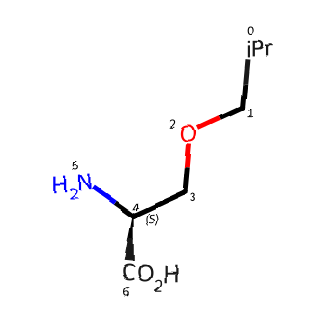 CC(C)COC[C@H](N)C(=O)O